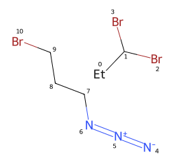 CCC(Br)Br.[N-]=[N+]=NCCCBr